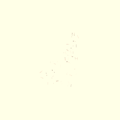 C[C@H](CC(=O)N(CC(=O)O)Cc1ccccc1)SS[C@@H](C)CC(=O)O[C@H]1CC[C@@]2(C)C(=CC[C@@H]3[C@@H]2CC[C@]2(C)C(c4cccnc4)=CC[C@@H]32)C1